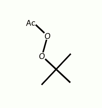 CC(=O)OOC(C)(C)C